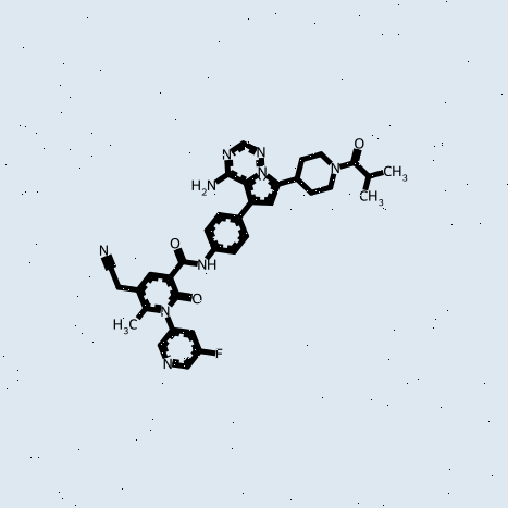 Cc1c(CC#N)cc(C(=O)Nc2ccc(-c3cc(C4CCN(C(=O)C(C)C)CC4)n4ncnc(N)c34)cc2)c(=O)n1-c1cncc(F)c1